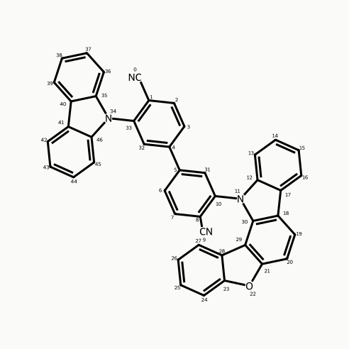 N#Cc1ccc(-c2ccc(C#N)c(-n3c4ccccc4c4ccc5oc6ccccc6c5c43)c2)cc1-n1c2ccccc2c2ccccc21